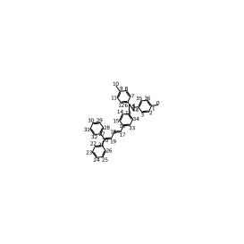 Cc1ccc(N(c2ccc(C)cc2)c2ccc(C=CC=C(c3ccccc3)c3ccccc3)cc2)cc1